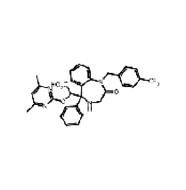 Cc1cc(C)nc(OC(C(=O)O)C2(c3ccccc3)NCC(=O)N(Cc3ccc(C(F)(F)F)cc3)c3ccccc32)n1